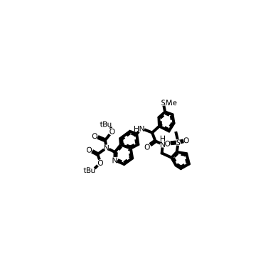 CSc1cccc(C(Nc2ccc3c(N(C(=O)OC(C)(C)C)C(=O)OC(C)(C)C)nccc3c2)C(=O)NCc2ccccc2S(C)(=O)=O)c1